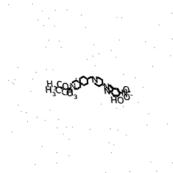 CC(C)(C)OC(=O)N1C[CH]C2(CCC(CN3CCC(n4cc5cc([N+](=O)[O-])c(O)cc5n4)CC3)CC2)CC1